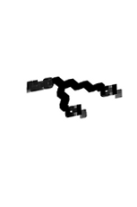 C=CCCCC=C(CC=CC)COC